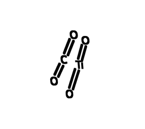 O=C=O.[O]=[Ti]=[O]